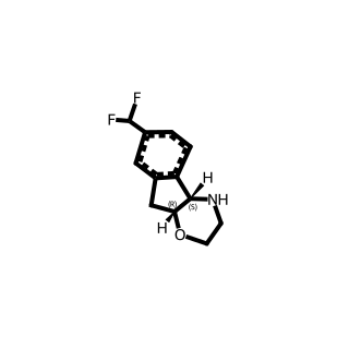 FC(F)c1ccc2c(c1)C[C@H]1OCCN[C@@H]21